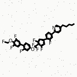 CCCCCc1ccc(-c2ccc(-c3cc(F)c(C(F)(F)Oc4ccc(-c5cc(F)c(OCF)c(F)c5)c(F)c4)c(F)c3)c(F)c2)nc1